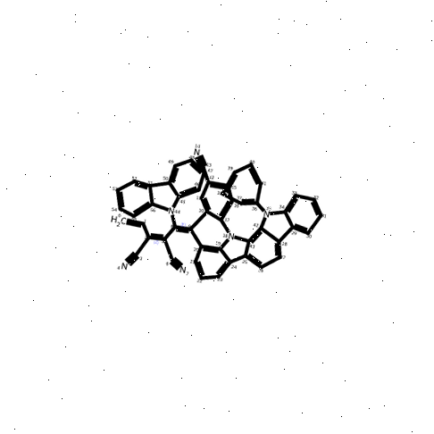 C=C/C(C#N)=C(C#N)\C(=c1\c2cc(C#N)ccc2n2c3c1cccc3c1ccc3c4ccccc4n(-c4ccccc4)c3c12)n1c2ccccc2c2ccccc21